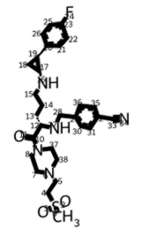 CS(=O)(=O)CCN1CCN(C(=O)[C@H](CCCN[C@@H]2C[C@H]2c2ccc(F)cc2)NCc2ccc(C#N)cc2)CC1